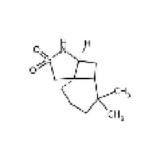 CC1(C)CCC[C@]23CS(=O)(=O)N[C@H]2CC13